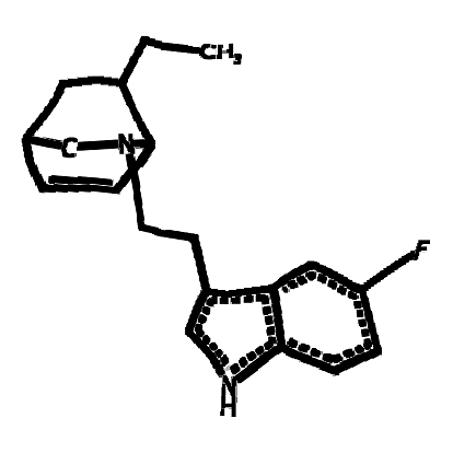 CCC1CC2C=CC1N(CCc1c[nH]c3ccc(F)cc13)C2